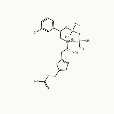 C[C@H](Cc1ncc(CCC(=O)O)s1)NCC(O[Si](C)(C)OC(C)(C)C)c1cccc(Cl)c1